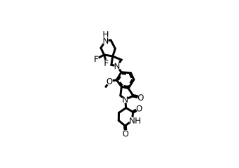 COc1c(N2CC3(CCNCC3(F)F)C2)ccc2c1CN(C1CCC(=O)NC1=O)C2=O